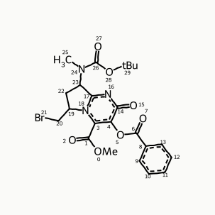 COC(=O)c1c(OC(=O)c2ccccc2)c(=O)nc2n1C(CBr)CC2N(C)C(=O)OC(C)(C)C